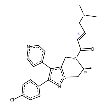 C[C@H]1Cn2nc(-c3ccc(Cl)cc3)c(-c3ccncc3)c2CN1C(=O)/C=C/CN(C)C